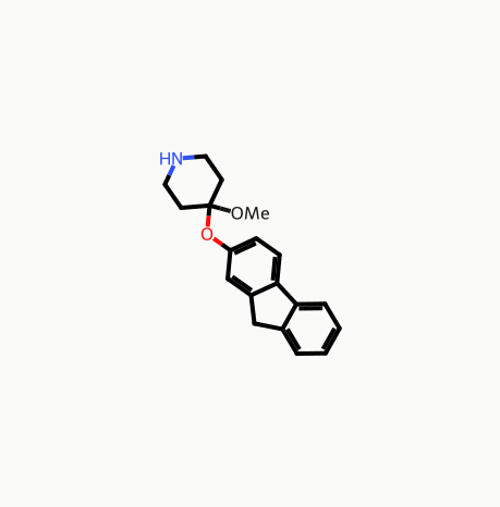 COC1(Oc2ccc3c(c2)Cc2ccccc2-3)CCNCC1